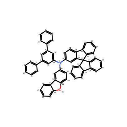 c1ccc(-c2cc(-c3ccccc3)cc(N(c3ccc4c(c3)C3(c5ccccc5-c5ccccc53)c3ccccc3-4)c3ccc4oc5ccccc5c4c3)c2)cc1